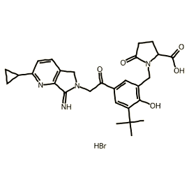 Br.CC(C)(C)c1cc(C(=O)CN2Cc3ccc(C4CC4)nc3C2=N)cc(CN2C(=O)CCC2C(=O)O)c1O